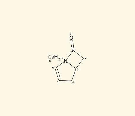 O=C1CC2CC=CN12.[CaH2]